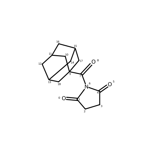 O=C1CCC(=O)N1C(=O)C12CC3CC(CC(C3)C1)C2